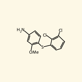 COc1cc(N)ccc1Sc1cccc(Cl)c1Cl